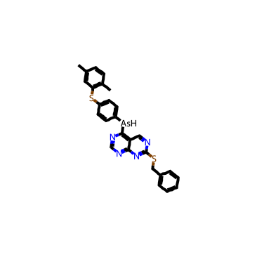 Cc1ccc(C)c(Sc2ccc([AsH]c3ncnc4nc(SCc5ccccc5)ncc34)cc2)c1